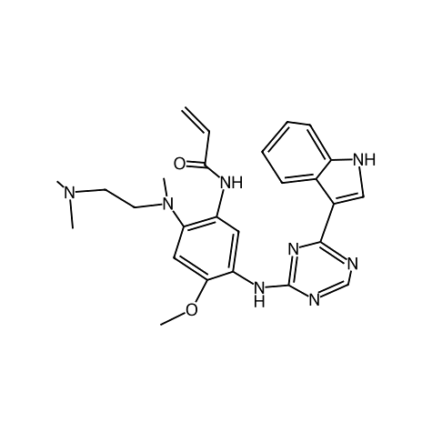 C=CC(=O)Nc1cc(Nc2ncnc(-c3c[nH]c4ccccc34)n2)c(OC)cc1N(C)CCN(C)C